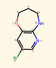 Brc1cnc2c(c1)OCCCN2